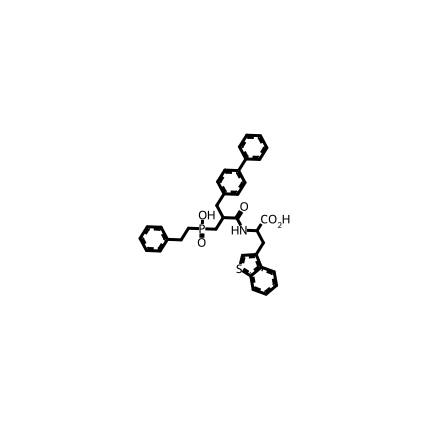 O=C(NC(Cc1csc2ccccc12)C(=O)O)C(Cc1ccc(-c2ccccc2)cc1)CP(=O)(O)CCc1ccccc1